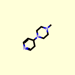 CN1CCN(C2C=CN=CC2)CC1